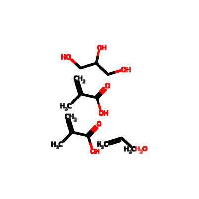 C=C(C)C(=O)O.C=C(C)C(=O)O.C=CC.O.OCC(O)CO